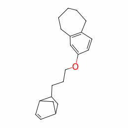 C1=CC2CC1CC2CCCOc1ccc2c(c1)CCCCC2